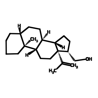 C=C(C)[C@]12CC[C@H]3[C@@H](CC[C@H]4CCCC[C@@]43C)[C@@H]1CC[C@@H]2CO